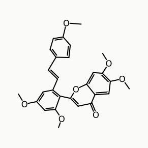 COc1ccc(/C=C/c2cc(OC)cc(OC)c2-c2cc(=O)c3cc(OC)c(OC)cc3o2)cc1